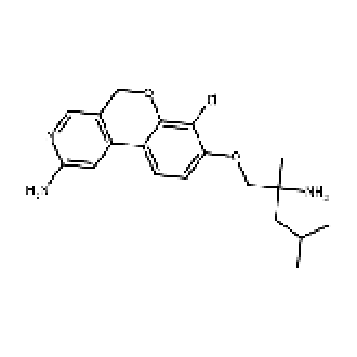 CC(C)CC(C)(N)COc1ccc2c(c1Cl)OCc1cnc(N)cc1-2